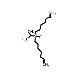 C=CCCCCC[Si](Cl)(CCCCCC=C)C(C)C